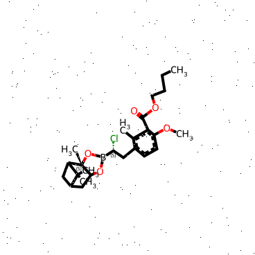 CCCCOC(=O)c1c(OC)ccc(C[C@@H](Cl)B2OC3CC4CC(C4(C)C)[C@]3(C)O2)c1C